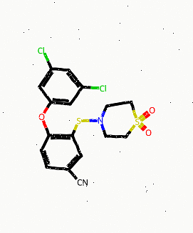 N#Cc1ccc(Oc2cc(Cl)cc(Cl)c2)c(SN2CCS(=O)(=O)CC2)c1